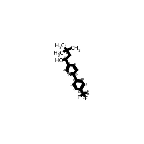 CC(C)(C)CC(O)c1ccc(-c2ccc(C(F)(F)F)cc2)nc1